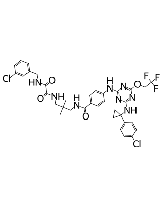 CC(C)(CNC(=O)C(=O)NCc1cccc(Cl)c1)CNC(=O)c1ccc(Nc2nc(NC3(c4ccc(Cl)cc4)CC3)nc(OCC(F)(F)F)n2)cc1